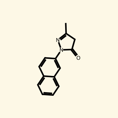 CC1=NN(c2ccc3ccccc3c2)C(=O)C1